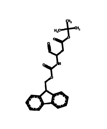 CC(C)(C)OC(=O)CC(C=O)NC(=O)OCC1c2ccccc2-c2ccccc21